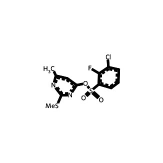 CSc1nc(C)cc(OS(=O)(=O)c2cccc(Cl)c2F)n1